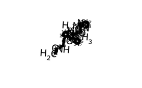 C=CC(=O)NCCC#Cc1cccc2nc([C@H](C)NC(=O)c3c(N)nc4cccnn34)n(-c3ccccc3)c(=O)c12